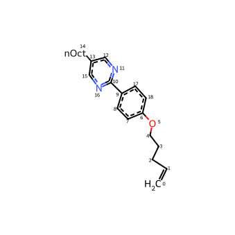 C=CCCCOc1ccc(-c2ncc(CCCCCCCC)cn2)cc1